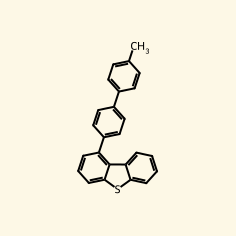 Cc1ccc(-c2ccc(-c3cccc4sc5ccccc5c34)cc2)cc1